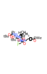 COC(=O)c1ccc(CCNC(=O)[C@H](CC(F)F)NC(=O)[C@@H]2[C@@H]3[C@H](CN2C(=O)[C@@H](NC(=O)N[C@H](C(=O)OC(C)(C)C)C(C)C)C(C)(C)C)C3(C)C)cc1